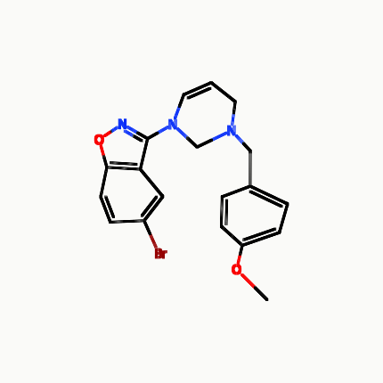 COc1ccc(CN2CC=CN(c3noc4ccc(Br)cc34)C2)cc1